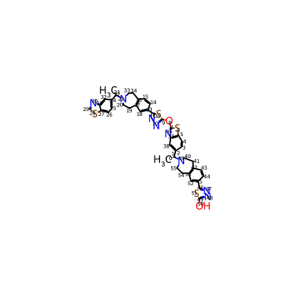 C[C@H](c1ccc2sc(Oc3nnc(-c4ccc5c(c4)CCN([C@@H](C)c4ccc6scnc6c4)CC5)s3)nc2c1)N1CCc2ccc(-c3nnc(O)s3)cc2CC1